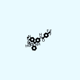 O=C(Nc1ccc(C2(c3ccc4ncsc4c3S(=O)(=O)O)Nc3ccccc3S2)cc1)c1ccc(C(F)(F)F)cc1